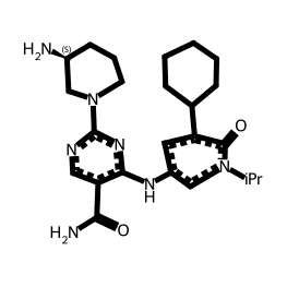 CC(C)n1cc(Nc2nc(N3CCC[C@H](N)C3)ncc2C(N)=O)cc(C2CCCCC2)c1=O